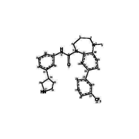 CN1CCCN(C(=O)Nc2cccc(C3CCNC3)c2)c2nc(-c3cccc(C(F)(F)F)c3)ccc21